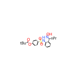 CCCC(=NO)c1ccccc1NS(=O)(=O)c1ccc(OC(=O)C(C)(C)C)cc1